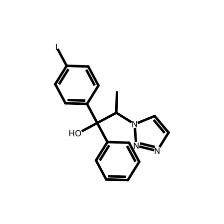 CC(n1ccnn1)C(O)(c1ccccc1)c1ccc(I)cc1